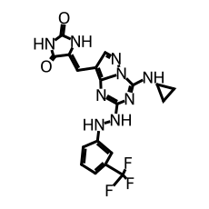 O=C1NC(=O)/C(=C/c2cnn3c(NC4CC4)nc(NNc4cccc(C(F)(F)F)c4)nc23)N1